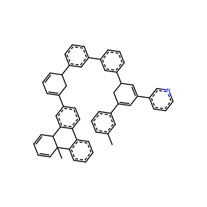 Cc1cccc(C2=CC(c3cccnc3)=CC(c3cccc(-c4cccc(C5C=CC=C(c6ccc7c(c6)C6C=CC=CC6(C)c6ccccc6-7)C5)c4)c3)C2)c1